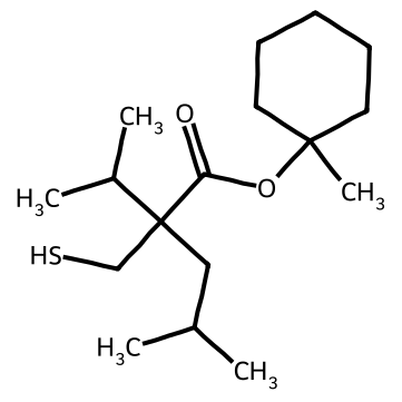 CC(C)CC(CS)(C(=O)OC1(C)CCCCC1)C(C)C